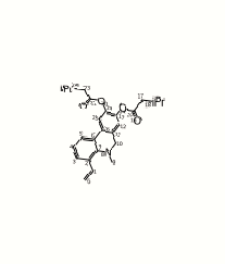 C=Cc1cccc2c1N(C)Cc1cc(OC(=O)CC(C)C)c(OC(=O)CC(C)C)cc1-2